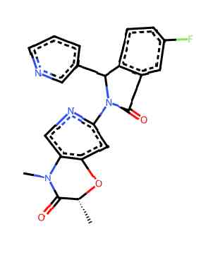 C[C@H]1Oc2cc(N3C(=O)c4cc(F)ccc4C3c3cccnc3)ncc2N(C)C1=O